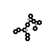 c1ccc(-n2c3ccccc3c3cc4c(cc32)c(-c2ccc(-c3cc(-c5ccc6ccccc6c5)cc(-c5ccc6ccccc6c5)n3)cc2)nc2ccccc24)cc1